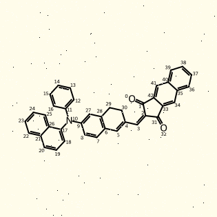 O=C1C(=CC2=Cc3ccc(N(c4ccccc4)c4cccc5ccccc45)cc3CC2)C(=O)c2cc3ccccc3cc21